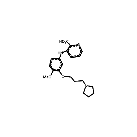 COc1ccc(Nc2cccnc2C(=O)O)cc1OCCCN1CCCC1